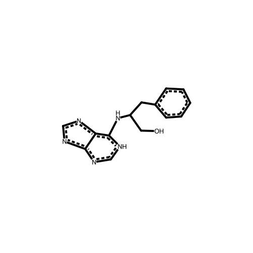 OCC(Cc1ccccc1)Nc1[nH]cnc2ncnc1-2